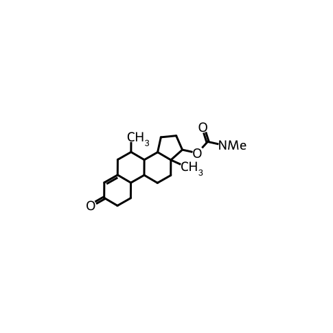 CNC(=O)OC1CCC2C3C(C)CC4=CC(=O)CCC4C3CCC12C